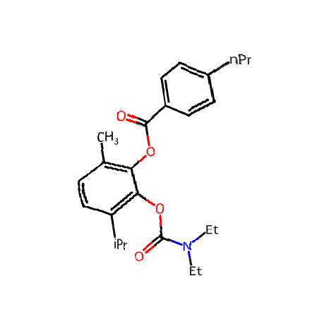 CCCc1ccc(C(=O)Oc2c(C)ccc(C(C)C)c2OC(=O)N(CC)CC)cc1